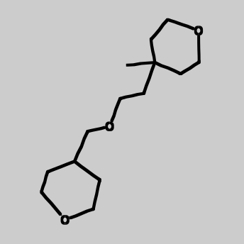 CC1(CCOCC2CCOCC2)CCOCC1